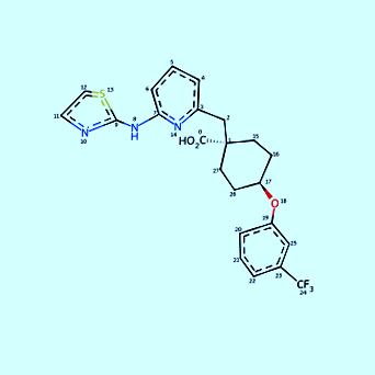 O=C(O)[C@]1(Cc2cccc(Nc3nccs3)n2)CC[C@@H](Oc2cccc(C(F)(F)F)c2)CC1